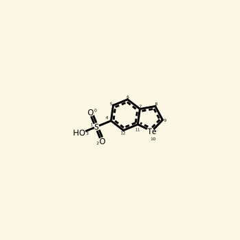 O=S(=O)(O)c1ccc2cc[te]c2c1